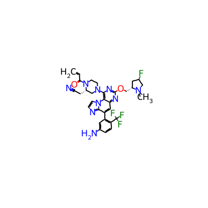 C=CC(=O)N1CCN(c2nc(OC[C@@H]3C[C@@H](F)CN3C)nc3cc(-c4cc(N)ccc4C(F)(F)F)c4nccn4c23)C[C@@H]1CC#N